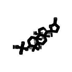 CC1(C)[C@@H](OS(=O)(=O)O)CC[C@]2(C)[C@H]3CC[C@H]([C@]4(C)CCC(=O)O4)[C@]3(C)CC[C@@H]12